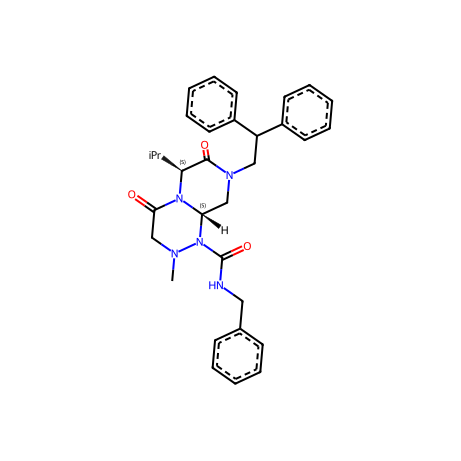 CC(C)[C@H]1C(=O)N(CC(c2ccccc2)c2ccccc2)C[C@H]2N1C(=O)CN(C)N2C(=O)NCc1ccccc1